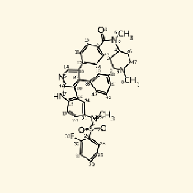 CN1CCC(N(C)C(=O)c2ccc(-c3cnc4[nH]c5ccc(N(C)S(=O)(=O)c6ccccc6F)cc5c4c3-c3ccccc3)cc2)CC1